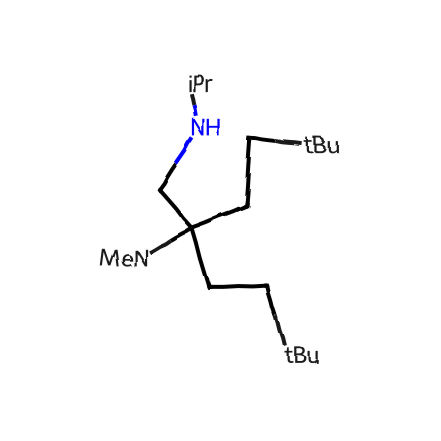 CNC(CCC(C)(C)C)(CCC(C)(C)C)CNC(C)C